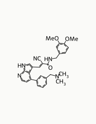 COc1ccc(CNC(=O)/C(C#N)=C/c2c[nH]c3nccc(-c4cccc(CN(C)C)c4)c23)cc1OC